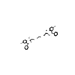 C#Cc1ccc2c(c1)C(c1ccccc1)=NCc1c(C(=O)OCCCOC(=O)c3ncn4c3CN=C(c3ccccc3)c3cc(C#C)ccc3-4)ncn1-2